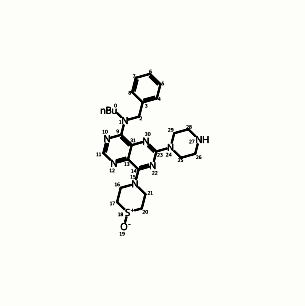 CCCCN(Cc1ccccc1)c1ncnc2c(N3CC[S+]([O-])CC3)nc(N3CCNCC3)nc12